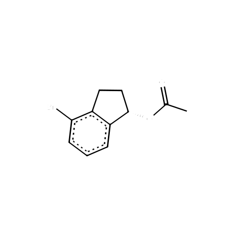 CC(=O)O[C@H]1CCc2c(Br)cccc21